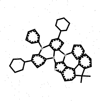 CC1(C)c2ccccc2-c2c1ccc1sc3c(c21)N(c1ccccc1)c1cc(C2CCCCC2)cc2c1B3c1ccc(C3CCCCC3)cc1N2c1ccccc1